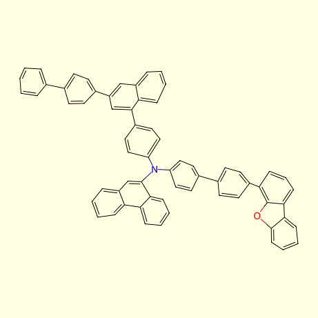 c1ccc(-c2ccc(-c3cc(-c4ccc(N(c5ccc(-c6ccc(-c7cccc8c7oc7ccccc78)cc6)cc5)c5cc6ccccc6c6ccccc56)cc4)c4ccccc4c3)cc2)cc1